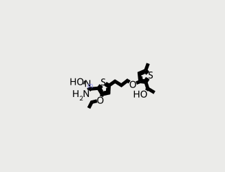 CCOc1cc(CCCOc2cc(C)sc2C(C)O)sc1/C(N)=N/O